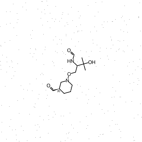 CC(C)(O)C(CON1CCC[C@@H](C=O)C1)NC=O